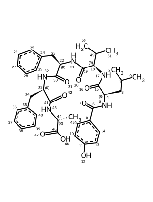 CC(C)C[C@@H](NC(=O)c1ccc(O)cc1)C(=O)N[C@@H](C(=O)N[C@H](Cc1ccccc1)C(=O)N[C@H](Cc1ccccc1)C(=O)N[C@H](C)C(=O)O)C(C)C